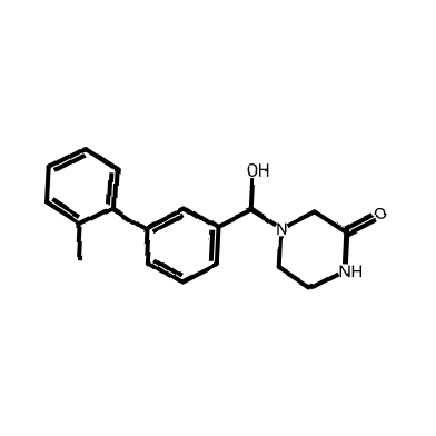 Cc1ccccc1-c1cccc(C(O)N2CCNC(=O)C2)c1